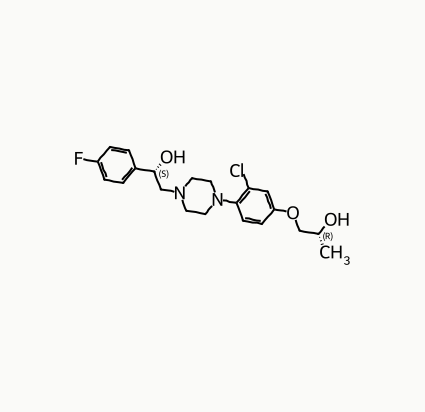 C[C@@H](O)COc1ccc(N2CCN(C[C@@H](O)c3ccc(F)cc3)CC2)c(Cl)c1